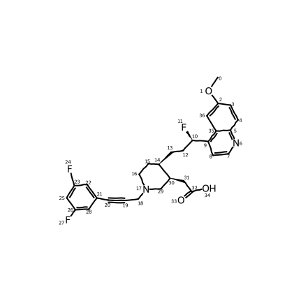 COc1ccc2nccc([C@H](F)CC[C@@H]3CCN(CC#Cc4cc(F)cc(F)c4)C[C@@H]3CC(=O)O)c2c1